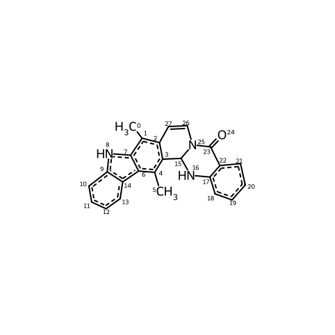 Cc1c2c(c(C)c3c1[nH]c1ccccc13)C1Nc3ccccc3C(=O)N1C=C2